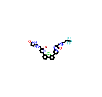 COc1nc(-c2cccc(-c3cccc(-c4ccn5c(=O)c(CNCCCC(F)(F)C(F)(F)F)cnc5c4)c3Cl)c2Cl)ccc1CNC[C@H]1CCC(=O)N1